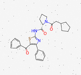 O=C(c1ccccc1)c1sc(NC(=O)[C@@H]2CCCN2C(=O)CC2CCCC2)nc1-c1ccccc1